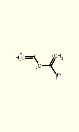 C=COC(=C)C(C)C